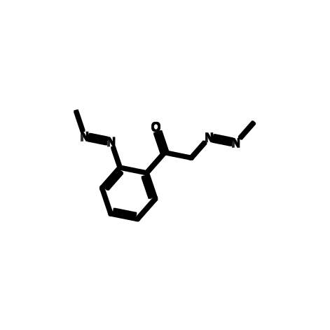 CN=NCC(=O)c1ccccc1N=NC